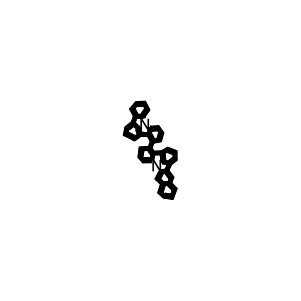 c1ccc2cc3c(cc2c1)c1cccc2c4c(-c5cccc6c5c5cccc7c8ccccc8n6c75)cccc4n3c12